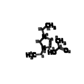 CC(=O)O.CCN1C=CN(CC)C1